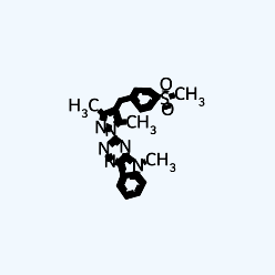 Cc1nn(-c2nnc3c4ccccc4n(C)c3n2)c(C)c1Cc1ccc(S(C)(=O)=O)cc1